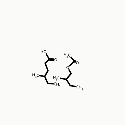 CCC(C)CCC(=O)O.CCC(C)COC(C)=O